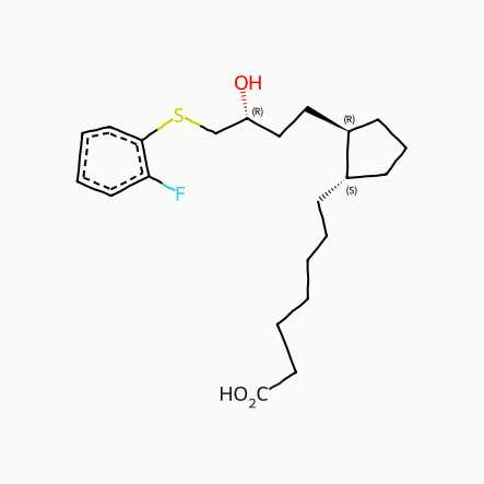 O=C(O)CCCCCC[C@H]1CCC[C@@H]1CC[C@@H](O)CSc1ccccc1F